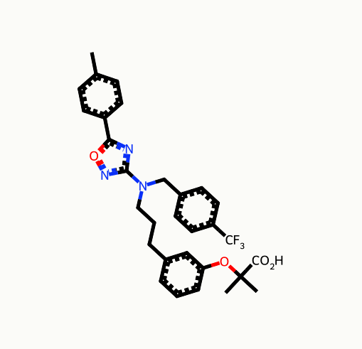 Cc1ccc(-c2nc(N(CCCc3cccc(OC(C)(C)C(=O)O)c3)Cc3ccc(C(F)(F)F)cc3)no2)cc1